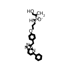 C=C(CO)[S+]([O-])NCCCOc1ccc(Cc2nnc3ccc(-c4ccccc4)nn23)cc1